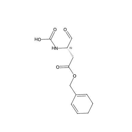 O=C[C@H](CC(=O)OCC1=CCCC=C1)NC(=O)O